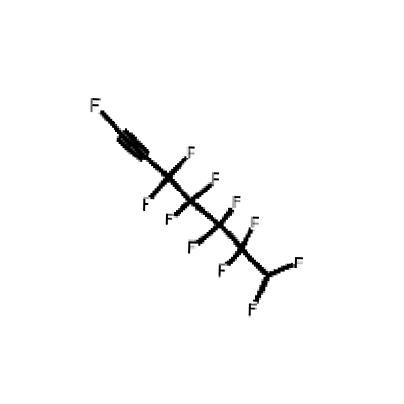 FC#CC(F)(F)C(F)(F)C(F)(F)C(F)(F)[C](F)F